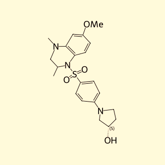 COc1ccc2c(c1)N(C)CC(C)N2S(=O)(=O)c1ccc(N2CC[C@H](O)C2)cc1